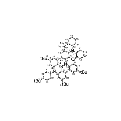 CC(C)(C)c1ccc(N2c3cc(C(C)(C)C)ccc3B3c4c(cc(C(C)(C)C)cc42)-c2cc4c(c5c2N3c2ccc(C(C)(C)C)cc2O5)N(c2ccccc2)c2ccccc2C4(C)C)cc1